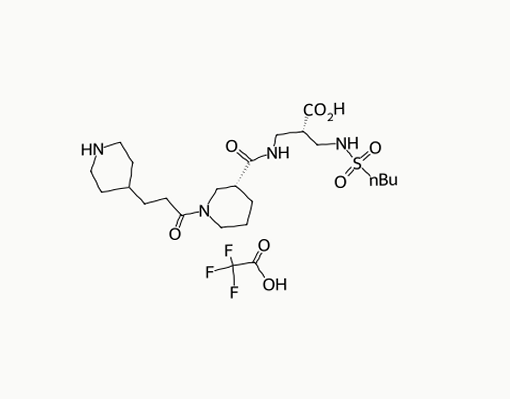 CCCCS(=O)(=O)NC[C@H](CNC(=O)[C@@H]1CCCN(C(=O)CCC2CCNCC2)C1)C(=O)O.O=C(O)C(F)(F)F